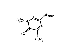 CCCC(C)c1cc(C)c(=O)n(C)c1